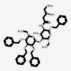 CCCCCCCCCCC[C@@H](O)CC(=O)N[C@H]1[C@H](OCc2ccccc2)O[C@H](COC(C)=O)[C@@H](O[C@@H]2O[C@H](COC(C)=O)[C@@H](OCc3ccccc3)[C@H](OCc3ccccc3)[C@@H]2OCc2ccccc2)[C@@H]1O